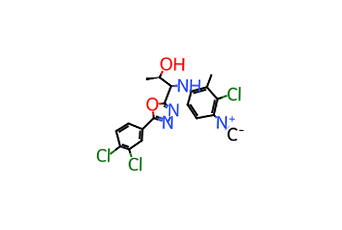 [C-]#[N+]c1ccc(N[C@@H](c2nnc(-c3ccc(Cl)c(Cl)c3)o2)[C@@H](C)O)c(C)c1Cl